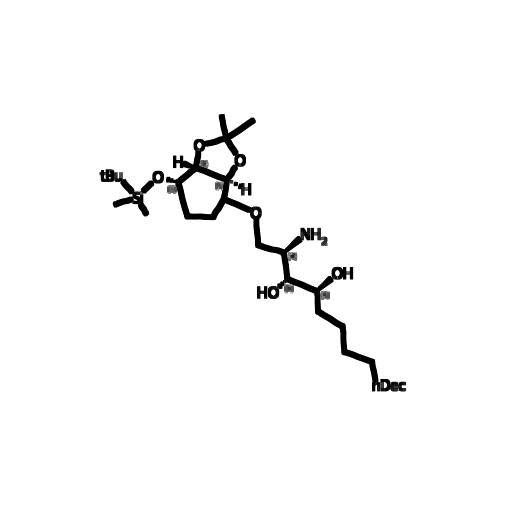 CCCCCCCCCCCCCC[C@H](O)[C@H](O)[C@H](N)COC1CC[C@H](O[Si](C)(C)C(C)(C)C)[C@@H]2OC(C)(C)O[C@@H]12